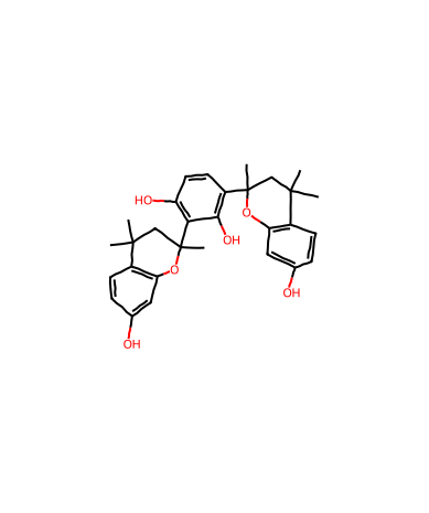 CC1(C)CC(C)(c2ccc(O)c(C3(C)CC(C)(C)c4ccc(O)cc4O3)c2O)Oc2cc(O)ccc21